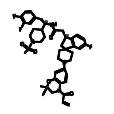 C=CC(=O)N1CC(C)(C)Oc2cc(N3CCC4(CC3)C[C@@H](CC(=O)N[C@H](Cc3ccc(F)c(F)c3)C3CCN(S(C)(=O)=O)CC3)c3ccc(F)cc34)ccc21